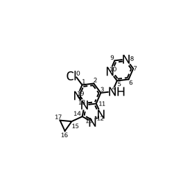 Clc1cc(Nc2ccncn2)c2nnc(C3CC3)n2n1